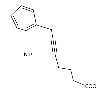 O=C([O-])CCCC#CCc1ccccc1.[Na+]